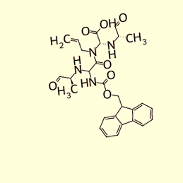 C=CCN(C(=O)C(NC(=O)OCC1c2ccccc2-c2ccccc21)N[C@@H](C)C=O)[C@@H](N[C@@H](C)C=O)C(=O)O